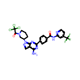 Nc1nc(-c2ccc(C(=O)Nc3cc(C(F)(F)F)ccn3)cc2)nc2c1cnn2[C@@H]1CCCN(C(=O)C(Cl)(Cl)Cl)C1